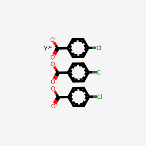 O=C([O-])c1ccc(Cl)cc1.O=C([O-])c1ccc(Cl)cc1.O=C([O-])c1ccc(Cl)cc1.[Y+3]